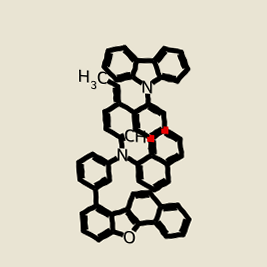 C=C(/C=C\C(=C/C)c1ccccc1-n1c2ccccc2c2ccccc21)N(c1cccc(-c2cccc3oc4c5ccccc5ccc4c23)c1)c1cccc2ccccc12